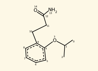 CC(C)Oc1ccccc1CCC(N)=O